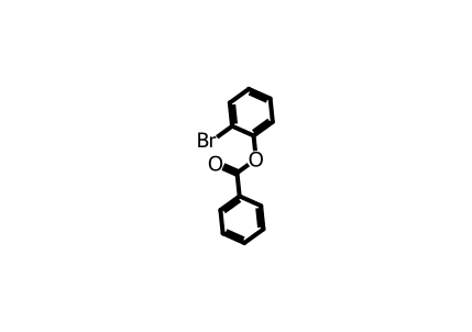 O=C(Oc1ccccc1Br)c1ccccc1